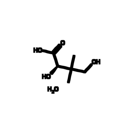 CC(C)(CO)[C@@H](O)C(=O)O.O